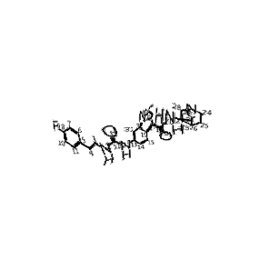 O=C(NCCc1ccc(F)cc1)Nc1ccc2c(C(=O)N[C@H]3CN4CCC3CC4)snc2c1